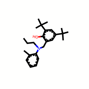 CCCN(Cc1cc(C(C)(C)C)cc(C(C)(C)C)c1O)c1ccccc1C